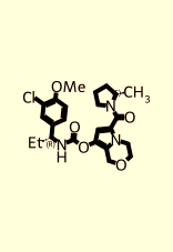 CC[C@@H](NC(=O)Oc1cc(C(=O)N2CCC[C@@H]2C)n2c1COCC2)c1ccc(OC)c(Cl)c1